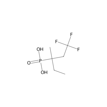 CCC(C)(CC(F)(F)F)P(=O)(O)O